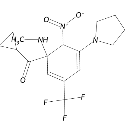 CNC1(C(=O)C2CC2)C=C(C(F)(F)F)C=C(N2CCCC2)C1[N+](=O)[O-]